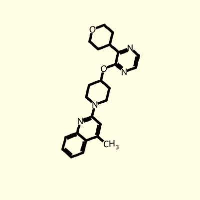 Cc1cc(N2CCC(Oc3nccnc3C3CCOCC3)CC2)nc2ccccc12